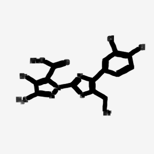 COC(=O)c1c(Br)c(C)nn1-c1nc(-c2ccc(Cl)c(Cl)c2)c(CC(C)C)s1